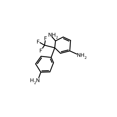 NC1=CC(c2ccc(N)cc2)(C(F)(F)F)C(N)C=C1